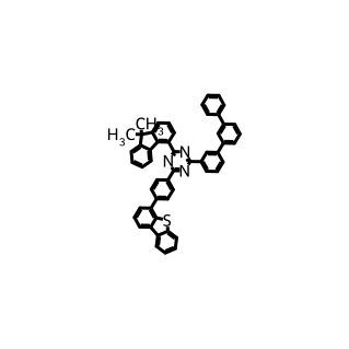 CC1(C)c2ccccc2-c2c(-c3nc(-c4ccc(-c5cccc6c5sc5ccccc56)cc4)nc(-c4cccc(-c5cccc(-c6ccccc6)c5)c4)n3)cccc21